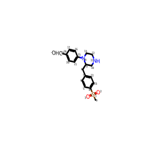 CS(=O)(=O)c1ccc(CC2CNCCN2c2ccc([C]=O)cc2)cc1